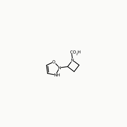 O=C(O)N1CCC1N1NC=CO1